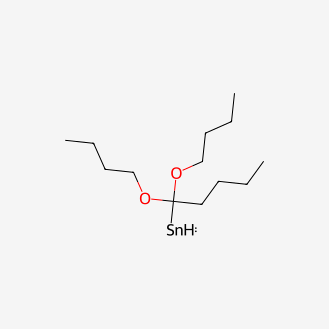 CCCCO[C]([SnH])(CCCC)OCCCC